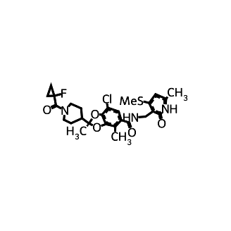 CSc1cc(C)[nH]c(=O)c1CNC(=O)c1cc(Cl)c2c(c1C)O[C@](C)(C1CCN(C(=O)C3(F)CC3)CC1)O2